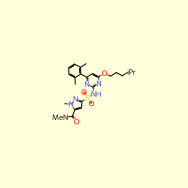 CNC(=O)c1cc(S(=O)(=O)Nc2nc(OCCCC(C)C)cc(-c3c(C)cccc3C)n2)nn1C